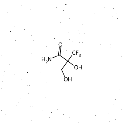 NC(=O)C(O)(CO)C(F)(F)F